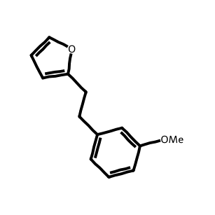 COc1cccc(CCc2ccco2)c1